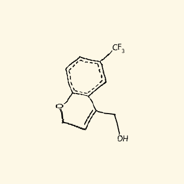 OCC1=CCOc2ccc(C(F)(F)F)cc21